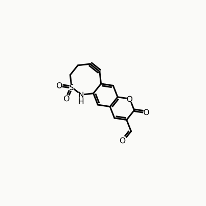 O=Cc1cc2cc3c(cc2oc1=O)C#CCCS(=O)(=O)N3